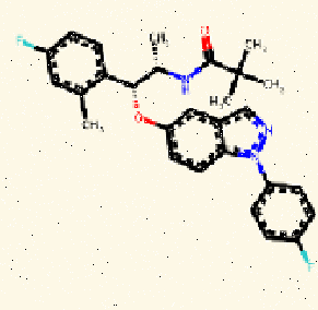 Cc1cc(F)ccc1[C@@H](Oc1ccc2c(cnn2-c2ccc(F)cc2)c1)[C@H](C)NC(=O)C(C)(C)C